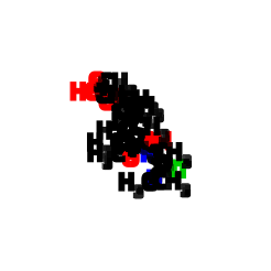 CC(=O)N(Cc1ccc(Cl)cc1CN(C)C)C[C@H](O)[C@@]12CC[C@]3(C)[C@H](CC[C@@H]4[C@@]5(C)CC[C@H](OC(=O)CC(C)(C)C(=O)O)C(C)(C)C5CC[C@]43C)C1=C(C(C)C)C(=O)C2